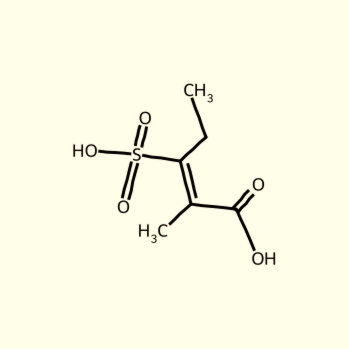 CCC(=C(C)C(=O)O)S(=O)(=O)O